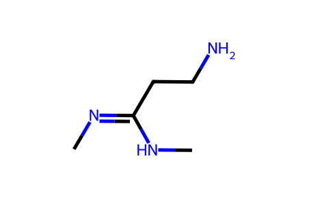 CN=C(CCN)NC